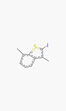 Cc1c(I)sc2c(C)cccc12